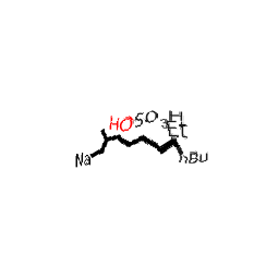 CCCCC(CC)CCCCC(C)[CH2][Na].O=S(=O)(O)O